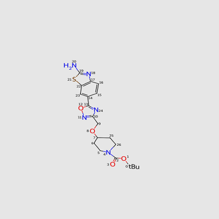 CC(C)(C)OC(=O)N1CCC(OCc2noc(-c3ccc4nc(N)sc4c3)n2)CC1